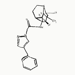 C[C@H]1[C@H](NC(=O)n2cc(-c3ccccc3)cn2)C2CCN1CC2